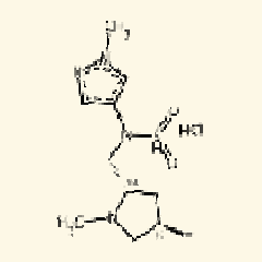 CN1C[C@H](F)C[C@H]1CN(c1cnn(C)c1)[SH](=O)=O.Cl